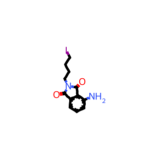 Nc1cccc2c1C(=O)N(CCCCI)C2=O